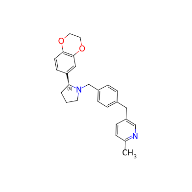 Cc1ccc(Cc2ccc(CN3CCC[C@H]3c3ccc4c(c3)OCCO4)cc2)cn1